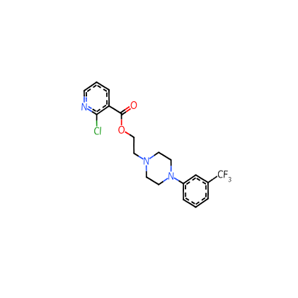 O=C(OCCN1CCN(c2cccc(C(F)(F)F)c2)CC1)c1cccnc1Cl